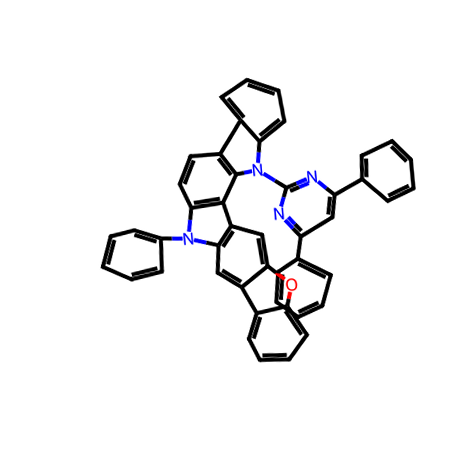 c1ccc(-c2cc(-c3ccccc3)nc(-n3c4ccccc4c4ccc5c(c6cc7oc8ccccc8c7cc6n5-c5ccccc5)c43)n2)cc1